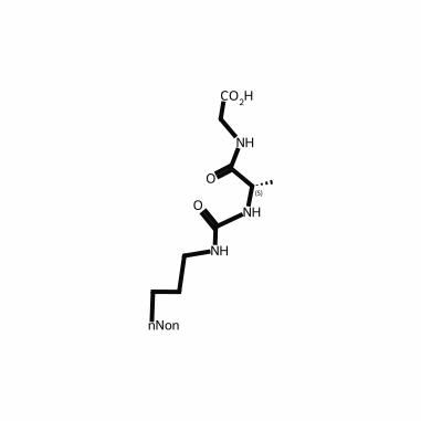 CCCCCCCCCCCCNC(=O)N[C@@H](C)C(=O)NCC(=O)O